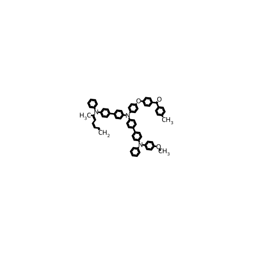 C=C/C=C\C=C(/C)N(c1ccccc1)c1ccc(-c2ccc(N(c3ccc(Oc4ccc(C(=O)c5ccc(C)cc5)cc4)cc3)c3ccc(-c4ccc(N(c5ccccc5)c5ccc(OC)cc5)cc4)cc3)cc2)cc1